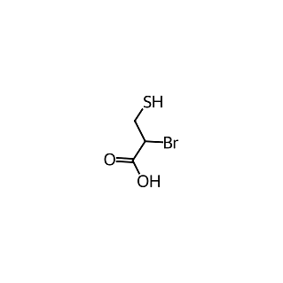 O=C(O)C(Br)CS